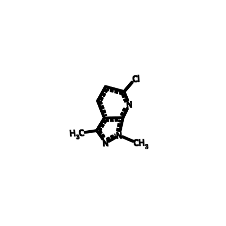 Cc1nn(C)c2nc(Cl)ccc12